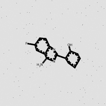 Nc1nc(-c2ccccc2O)nc2ccc(F)cc12